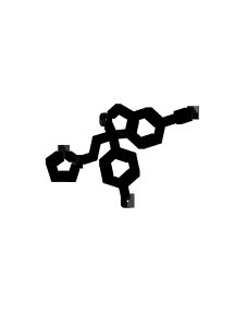 N#Cc1ccc2c(c1)COC2(CCn1cccn1)c1ccc(Cl)cc1